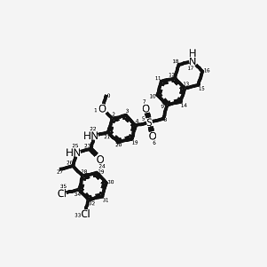 COc1cc(S(=O)(=O)Cc2ccc3c(c2)CCNC3)ccc1NC(=O)NC(C)c1cccc(Cl)c1Cl